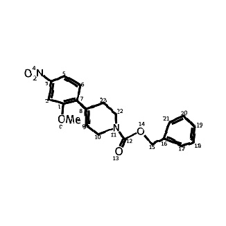 COc1cc([N+](=O)[O-])ccc1C1=CCN(C(=O)OCc2ccccc2)CC1